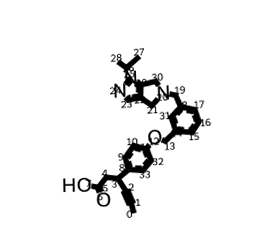 CC#CC(CC(=O)O)c1ccc(OCc2cccc(CN3Cc4cnn(C(C)C)c4C3)c2)cc1